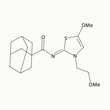 COCCn1cc(OC)sc1=NC(=O)C12CC3CC(CC(C3)C1)C2